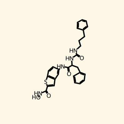 O=C(NCCCc1ccccc1)NC(Cc1ccccc1)C(=O)Nc1ccc2sc(C(=O)NO)cc2c1